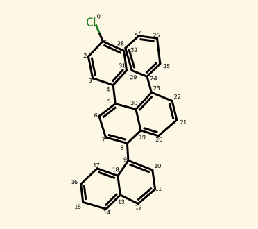 Clc1ccc(-c2ccc(-c3cccc4ccccc34)c3cccc(-c4ccccc4)c23)cc1